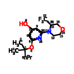 CCCC(C)(C)Oc1cc(O)cc(N2CCOC[C@@H]2C(F)(F)F)n1